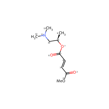 COC(=O)/C=C/C(=O)O[C@H](C)CN(C)C